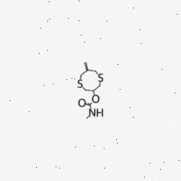 C=C1CSCC(OC(=O)NC)CSC1